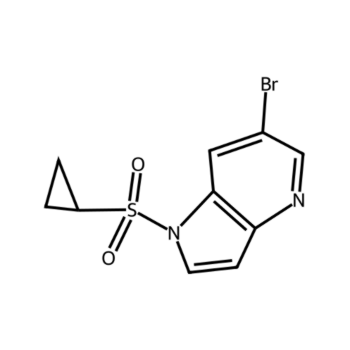 O=S(=O)(C1CC1)n1ccc2ncc(Br)cc21